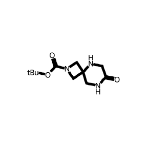 CC(C)(C)OC(=O)N1CC2(CNC(=O)CN2)C1